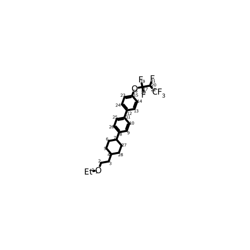 CCOCCC1CCC(c2ccc(-c3ccc(OC(F)(F)C(F)C(F)(F)F)cc3)cc2)CC1